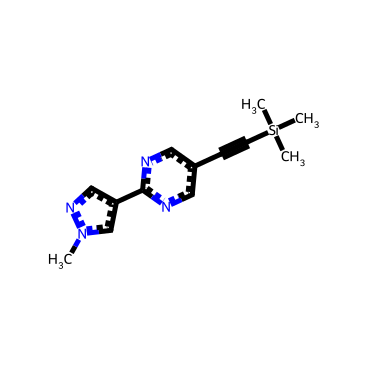 Cn1cc(-c2ncc(C#C[Si](C)(C)C)cn2)cn1